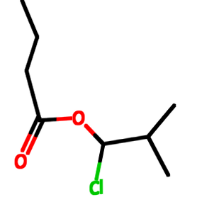 CCCC(=O)OC(Cl)C(C)C